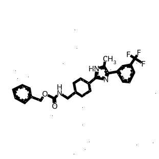 Cc1[nH]c(C2CCC(CNC(=O)OCc3ccccc3)CC2)nc1-c1cccc(C(F)(F)F)c1